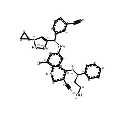 N#Cc1cccc([C@H](Nc2cc(Cl)c3ncc(C#N)c(N[C@H](CCO)c4ccccc4)c3c2)C2=CN(C3CC3)NN2)c1